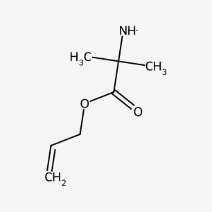 C=CCOC(=O)C(C)(C)[NH]